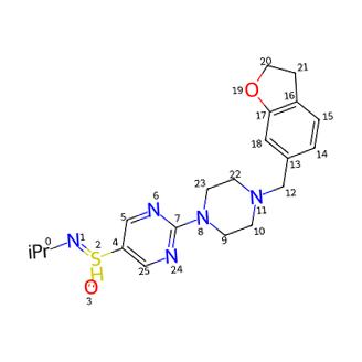 CC(C)N=[SH](=O)c1cnc(N2CCN(Cc3ccc4c(c3)OCC4)CC2)nc1